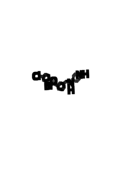 Clc1ccc(OCc2cccc(CNC3CCNCC3)c2)c(Br)c1